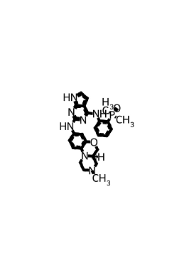 CN1CCN2c3ccc(Nc4nc(Nc5ccccc5P(C)(C)=O)c5cc[nH]c5n4)cc3OC[C@@H]2C1